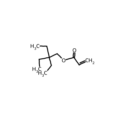 C=CC(=O)OCC(CC)(CC)CC